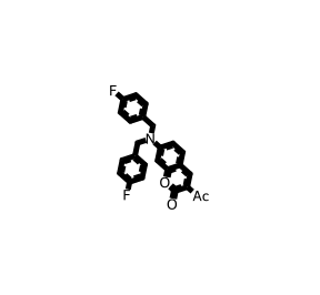 CC(=O)c1cc2ccc(N(Cc3ccc(F)cc3)Cc3ccc(F)cc3)cc2oc1=O